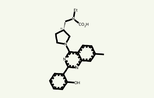 CCN(C[C@H]1CCN(c2nc(-c3ccccc3O)nc3cc(C)ccc23)C1)C(=O)O